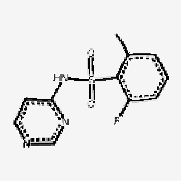 Cc1cccc(F)c1S(=O)(=O)Nc1ccncn1